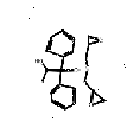 C(OCC1CO1)C1CO1.CC(O)C(O)(c1ccccc1)c1ccccc1